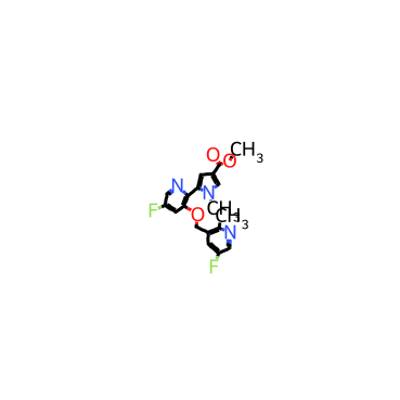 COC(=O)c1cc(-c2ncc(F)cc2OCc2cc(F)cnc2C)n(C)c1